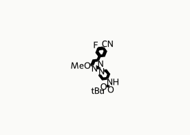 COc1cc(-c2ccc(C#N)c(F)c2)nc(N2CCC(NC(=O)OC(C)(C)C)CC2)n1